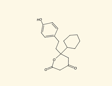 O=C1CC(=O)OC(CCc2ccc(O)cc2)(C2CCCCC2)C1